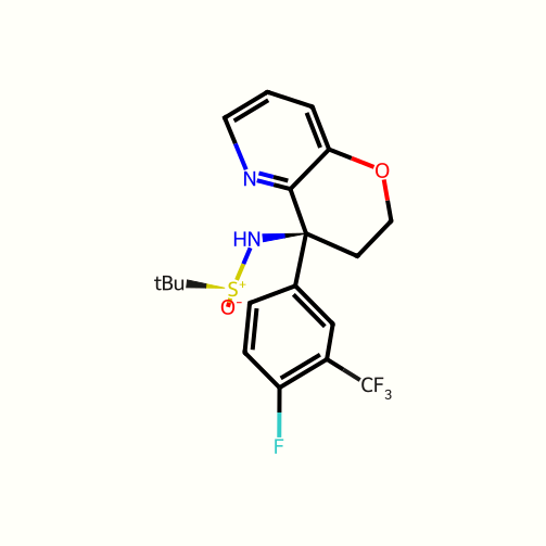 CC(C)(C)[S@+]([O-])N[C@]1(c2ccc(F)c(C(F)(F)F)c2)CCOc2cccnc21